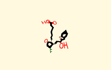 O=C(O)CCCCCC[C@H]1C(=O)C[C@@H](F)[C@H]1C=C[C@@H](O)c1cc2ccccc2s1